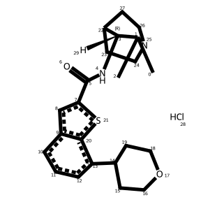 CC1(C)[C@H](NC(=O)c2cc3cccc(C4CCOCC4)c3s2)C2CCN1CC2.Cl